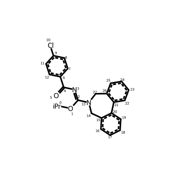 CC(C)OC(=NC(=O)c1ccc(Cl)cc1)N1Cc2ccccc2-c2ccccc2C1